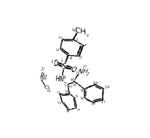 Cc1ccc(S(=O)(=O)N[C@@H](c2ccccc2)[C@@H](N)c2ccccc2)cc1.[Cl][Ru]